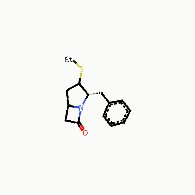 CCSC1CC2CC(=O)N2[C@H]1Cc1ccccc1